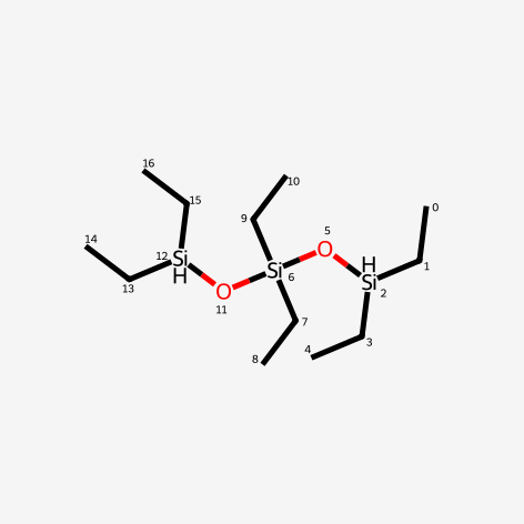 CC[SiH](CC)O[Si](CC)(CC)O[SiH](CC)CC